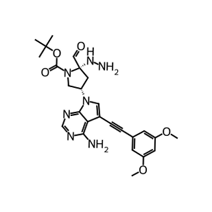 COc1cc(C#Cc2cn([C@@H]3CN(C(=O)OC(C)(C)C)[C@](C=O)(NN)C3)c3ncnc(N)c23)cc(OC)c1